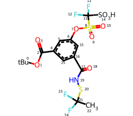 CC(C)(C)OC(=O)c1cc(OS(=O)(=O)C(F)(F)S(=O)(=O)O)cc(C(=O)NSC(C)(F)F)c1